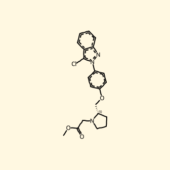 COC(=O)CN1CCC[C@H]1COc1ccc(-n2nc3ccccc3c2Cl)cc1